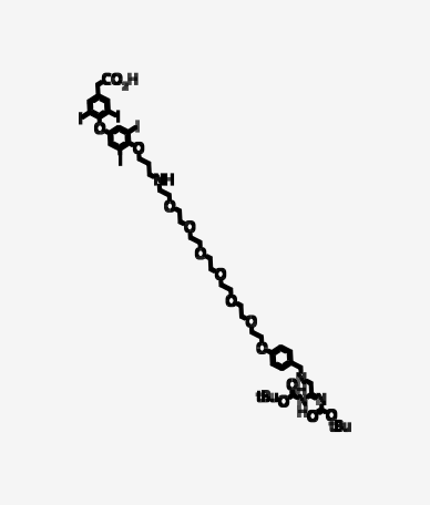 CC(C)(C)OC(=O)/N=C(/CNCc1ccc(OCCOCCOCCOCCOCCOCCOCCNCCCOc2c(I)cc(Oc3c(I)cc(CC(=O)O)cc3I)cc2I)cc1)NC(=O)OC(C)(C)C